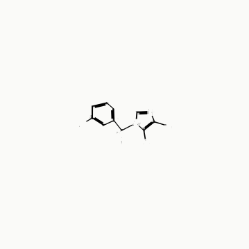 CCOC(=O)c1c(F)ncn1[C@H](C)c1cccc(F)c1